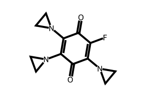 O=C1C(F)=C(N2CC2)C(=O)C(N2CC2)=C1N1CC1